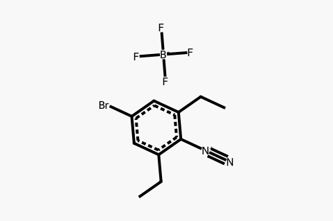 CCc1cc(Br)cc(CC)c1[N+]#N.F[B-](F)(F)F